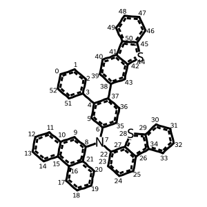 c1ccc(-c2cc(N(c3cc4ccccc4c4ccccc34)c3cccc4c3sc3ccccc34)ccc2-c2ccc3c(c2)sc2ccccc23)cc1